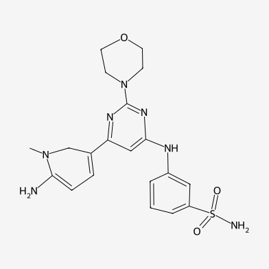 CN1CC(c2cc(Nc3cccc(S(N)(=O)=O)c3)nc(N3CCOCC3)n2)=CC=C1N